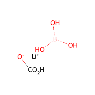 O=C([O-])O.OB(O)O.[Li+]